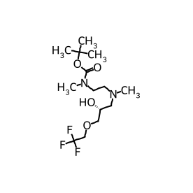 CN(CCN(C)C(=O)OC(C)(C)C)C[C@@H](O)COCC(F)(F)F